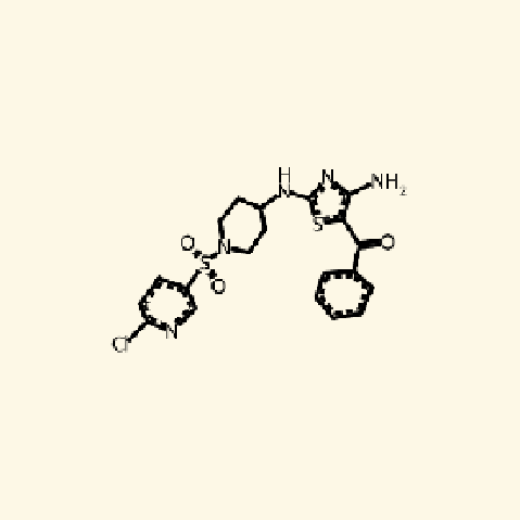 Nc1nc(NC2CCN(S(=O)(=O)c3ccc(Cl)nc3)CC2)sc1C(=O)c1ccccc1